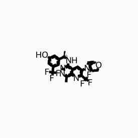 Cc1nnc(N[C@H](C)c2cc(O)cc(C(F)(F)F)c2)c2cc(N3CC4CC3CO4)c(C(F)(F)F)nc12